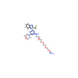 NOCCOCCOCCOCCNc1nc(N2CCOCC2)nc(-n2c(C(F)F)nc3ccccc32)n1